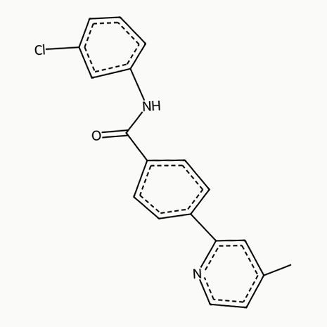 Cc1ccnc(-c2ccc(C(=O)Nc3cccc(Cl)c3)cc2)c1